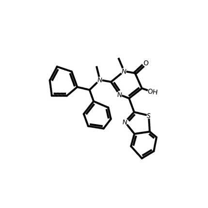 CN(c1nc(-c2nc3ccccc3s2)c(O)c(=O)n1C)C(c1ccccc1)c1ccccc1